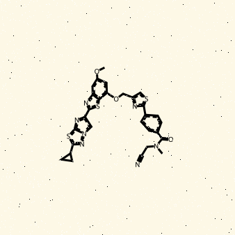 COc1cc(OCc2csc(-c3ccc(C(=O)N(C)CC#N)cc3)n2)c2sc(-c3cn4nc(C5CC5)sc4n3)nc2c1